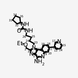 CCOCc1nc2c(N)nc3cc(-c4cccnc4)ccc3c2n1CCCCNC(=O)NC1CCCC1